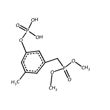 COP(=O)(Cc1cc(C)cc(OP(=O)(O)O)c1)OC